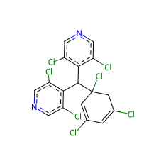 ClC1=CC(Cl)(C(c2c(Cl)cncc2Cl)c2c(Cl)cncc2Cl)CC(Cl)=C1